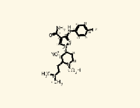 CN(C)CCC1[C@H](C#N)[C@@H](n2cc(C(N)=O)c(Nc3ccc(F)cc3)n2)CCN1C(=O)O